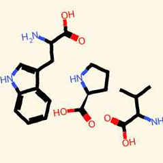 CC(C)C(N)C(=O)O.NC(Cc1c[nH]c2ccccc12)C(=O)O.O=C(O)[C@@H]1CCCN1